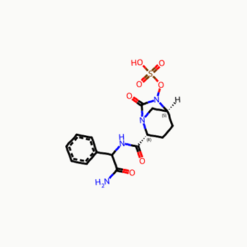 NC(=O)C(NC(=O)[C@H]1CC[C@H]2CN1C(=O)N2OS(=O)(=O)O)c1ccccc1